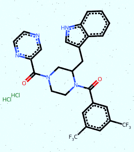 Cl.Cl.O=C(c1cnccn1)N1CCN(C(=O)c2cc(C(F)(F)F)cc(C(F)(F)F)c2)C(Cc2c[nH]c3ccccc23)C1